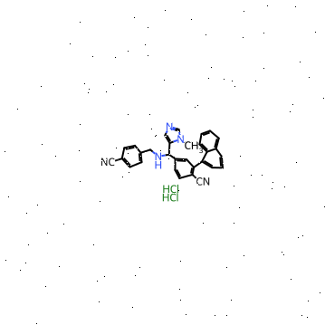 Cl.Cl.Cn1cncc1C(NCc1ccc(C#N)cc1)c1ccc(C#N)c(-c2cccc3ccccc23)c1